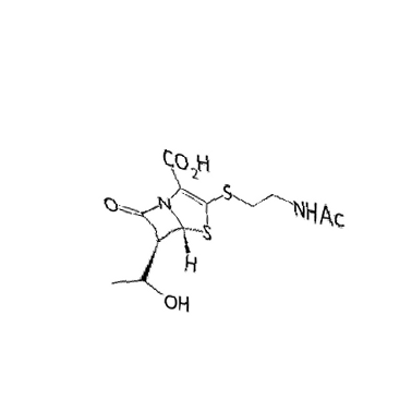 CC(=O)NCCSC1=C(C(=O)O)N2C(=O)[C@H](C(C)O)[C@H]2S1